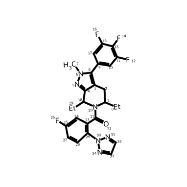 CCC1Cc2c(nn(C)c2-c2cc(F)c(F)c(F)c2)C(CC)N1C(=O)c1cc(F)ccc1-n1nccn1